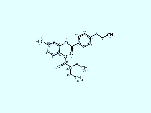 CCCc1ccc(C(=O)Oc2cc(C)ccc2OC(=O)N(CC)CC)cc1